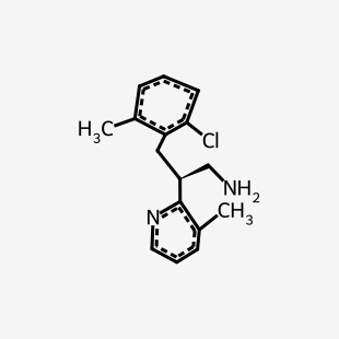 Cc1cccnc1[C@H](CN)Cc1c(C)cccc1Cl